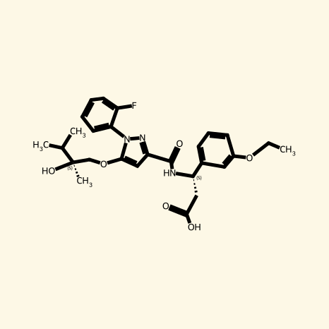 CCOc1cccc([C@H](CC(=O)O)NC(=O)c2cc(OC[C@@](C)(O)C(C)C)n(-c3ccccc3F)n2)c1